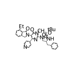 CCc1cccc2c1C(=O)N(c1c(-c3ccncc3)nc(NCC(Cc3ccccc3)NC(=O)OC(C)(C)C)n(C)c1=O)C2